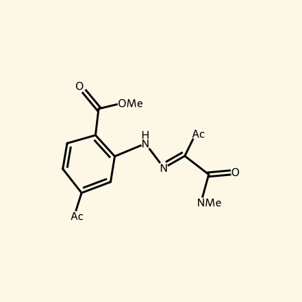 CNC(=O)/C(=N/Nc1cc(C(C)=O)ccc1C(=O)OC)C(C)=O